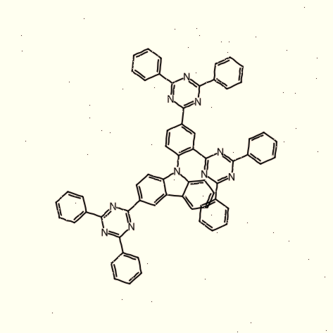 c1ccc(-c2nc(-c3ccccc3)nc(-c3ccc(-n4c5ccccc5c5cc(-c6nc(-c7ccccc7)nc(-c7ccccc7)n6)ccc54)c(-c4nc(-c5ccccc5)nc(-c5ccccc5)n4)c3)n2)cc1